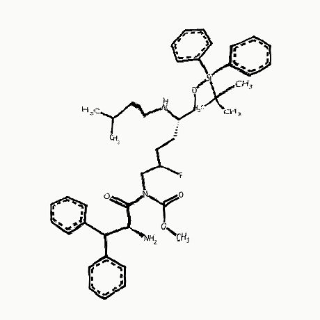 COC(=O)N(CC(F)CC[C@@H](CO[Si](c1ccccc1)(c1ccccc1)C(C)(C)C)NCCC(C)C)C(=O)[C@@H](N)C(c1ccccc1)c1ccccc1